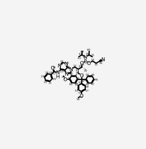 COc1ccc(C(OC[C@@H](Cn2cnc3c(NC(=O)c4ccccc4)ncnc32)[C@@H](C)OP(OCCC#N)N(C(C)C)C(C)C)(c2ccccc2)c2ccc(OC)cc2)cc1